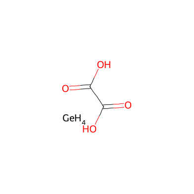 O=C(O)C(=O)O.[GeH4]